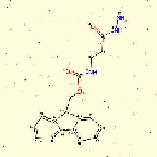 NNC(=O)CCNC(=O)OCC1c2ccccc2-c2ccccc21